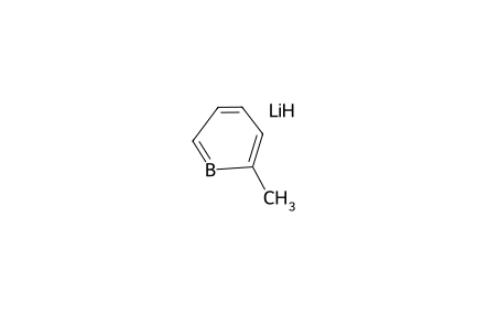 Cc1bcccc1.[LiH]